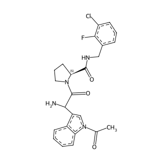 CC(=O)n1cc(C(N)C(=O)N2CCC[C@H]2C(=O)NCc2cccc(Cl)c2F)c2ccccc21